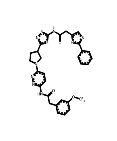 O=C(Cc1cccc(OC(F)(F)F)c1)Nc1ccc(N2CCC(c3nnc(NC(=O)Cc4csc(-c5ccccc5)n4)s3)C2)nn1